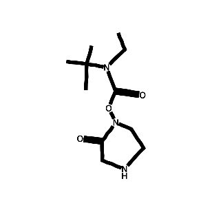 CCN(C(=O)ON1CCNCC1=O)C(C)(C)C